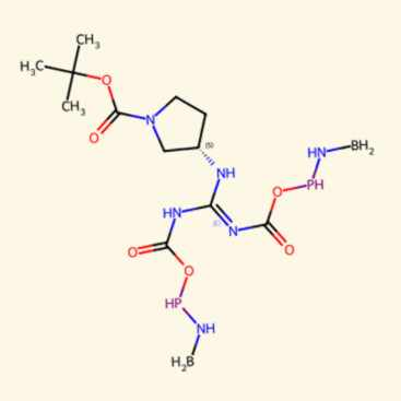 BNPOC(=O)/N=C(/NC(=O)OPNB)N[C@H]1CCN(C(=O)OC(C)(C)C)C1